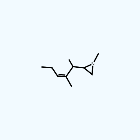 CC/C=C(/C)C(C)C1CN1C